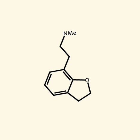 CNCCc1cccc2c1OCC2